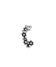 O=C[C@@H]1C[C@@H](Oc2ccc(-c3nc4ccc(C5(c6ccccc6)CC5)nc4s3)cc2)CN1